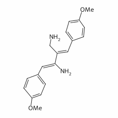 COc1ccc(C=C(N)C(=Cc2ccc(OC)cc2)CN)cc1